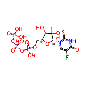 CC1(O)C(O)[C@@H](COP(=O)(O)OP(=O)(O)OP(=O)(O)O)O[C@H]1n1cc(F)c(=O)[nH]c1=S